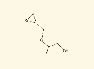 CC(CO)OCC1CO1